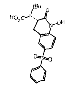 CC(C)(C)N(C(=O)O)[C@H]1Cc2cc(S(=O)(=O)c3ccccc3)ccc2N(O)C1=O